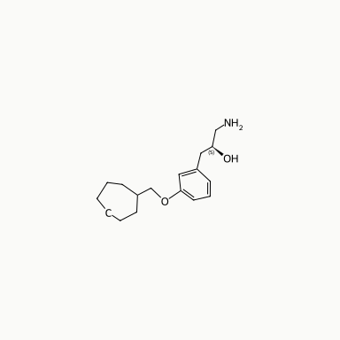 NC[C@@H](O)Cc1cccc(OCC2CCCCCC2)c1